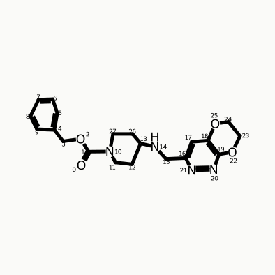 O=C(OCc1ccccc1)N1CCC(NCc2cc3c(nn2)OCCO3)CC1